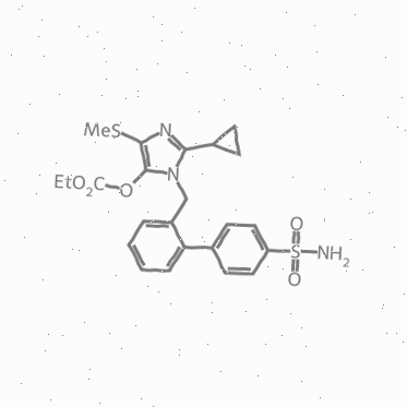 CCOC(=O)Oc1c(SC)nc(C2CC2)n1Cc1ccccc1-c1ccc(S(N)(=O)=O)cc1